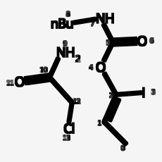 CC=C(I)OC(=O)NCCCC.NC(=O)CCl